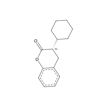 O=C1Oc2ccccc2C[C@H]1C1CCCCC1